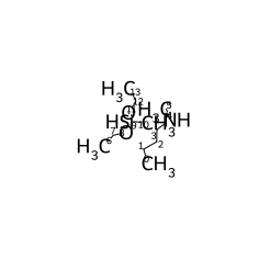 CCCCNC.CCO[SiH](C)OCC